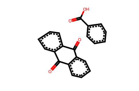 O=C(O)c1ccccc1.O=C1c2ccccc2C(=O)c2ccccc21